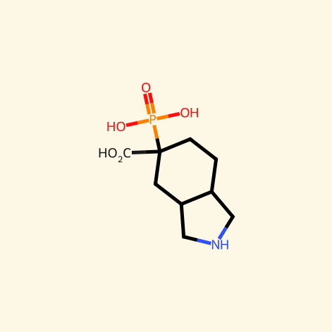 O=C(O)C1(P(=O)(O)O)CCC2CNCC2C1